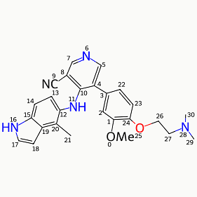 COc1cc(-c2cncc(C#N)c2Nc2ccc3[nH]ccc3c2C)ccc1OCCN(C)C